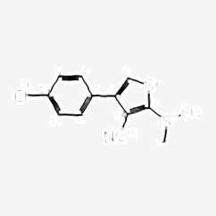 C[S+]([O-])c1scc(-c2ccc(Cl)cc2)c1C#N